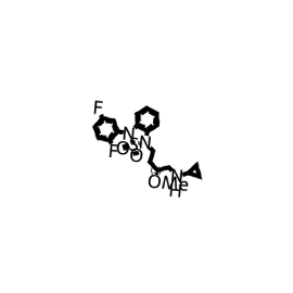 CO[C@@H](CCN1c2ccccc2N(c2cc(F)ccc2F)S1(=O)=O)CNC1CC1